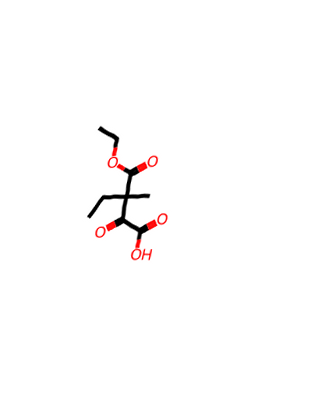 CCOC(=O)C(C)(CC)C(=O)C(=O)O